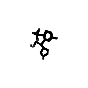 CC[C@@H](c1cc(F)ccc1S(=O)(=O)Cl)C1CCNC1